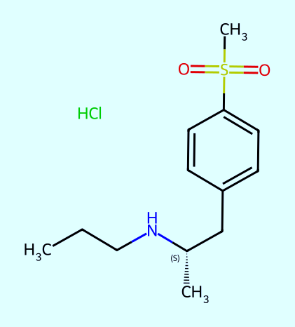 CCCN[C@@H](C)Cc1ccc(S(C)(=O)=O)cc1.Cl